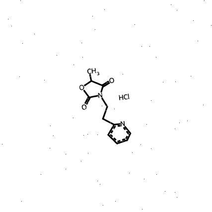 CC1OC(=O)N(CCc2ccccn2)C1=O.Cl